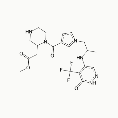 COC(=O)CC1CNCCN1C(=O)c1ccn(CC(C)Nc2cn[nH]c(=O)c2C(F)(F)F)c1